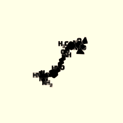 Cc1cc2nc3c(=O)n(C4CC4)c(=O)n(C4CC4)c3nc2cc1COC(=O)NCCCCCC(=O)NCc1ccc(COc2nc(N)nc3[nH]cnc23)cc1